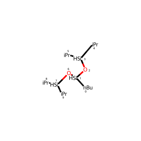 CCCC[SiH](O[SiH](C(C)C)C(C)C)O[SiH](C(C)C)C(C)C